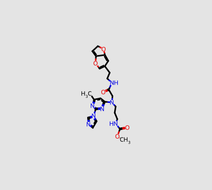 COC(=O)NCCCN(CC(=O)NCCC1=COC2=CCOC2=C1)c1cc(C)nc(-n2ccnc2)n1